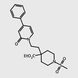 CCOC(=O)C1(CCn2ccc(-c3ccccc3)cc2=O)CCN(S(C)(=O)=O)CC1